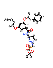 COC[C@H](C)Oc1cc(O[C@@H](C)Cc2ccccc2)cc(C(=O)Nc2ccn(CP3(=O)OC(C)(C)O3)n2)c1